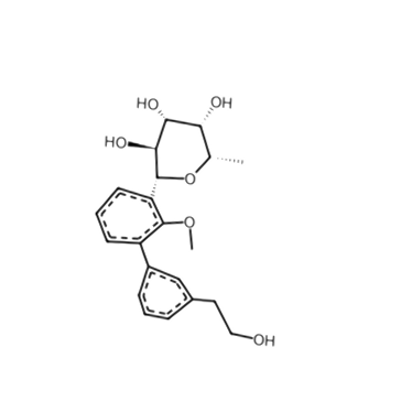 COc1c(-c2cccc(CCO)c2)cccc1[C@H]1O[C@@H](C)[C@@H](O)[C@@H](O)[C@@H]1O